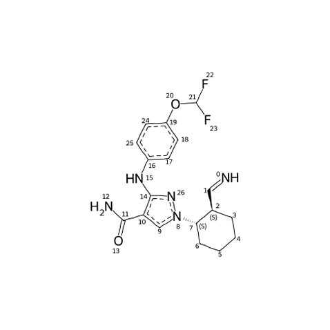 N=C[C@H]1CCCC[C@@H]1n1cc(C(N)=O)c(Nc2ccc(OC(F)F)cc2)n1